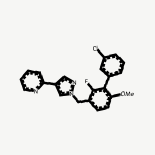 COc1ccc(Cn2cc(-c3ccccn3)cn2)c(F)c1-c1cccc(Cl)c1